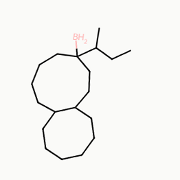 BC1(C(C)CC)CCCCC2CCCCCCC2CC1